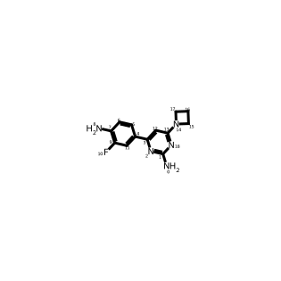 Nc1nc(-c2ccc(N)c(F)c2)cc(N2CCC2)n1